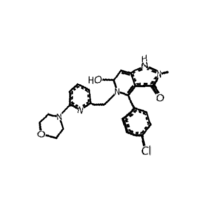 Cn1[nH]c2c(c1=O)=C(c1ccc(Cl)cc1)N(Cc1cccc(N3CCOCC3)n1)C(O)C=2